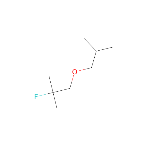 CC(C)COCC(C)(C)F